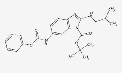 CC(C)CNc1nc2ccc(NC(=O)Oc3ccccc3)cc2n1C(=O)OC(C)(C)C